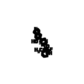 C[C@]12CCC[C@H](N1)[C@@H](F)[C@H](Oc1ncc(-c3cc4ccncc4cc3O)nn1)C2